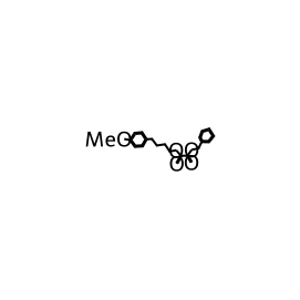 COc1ccc(CCCCOC(=O)C(=O)OCc2ccccc2)cc1